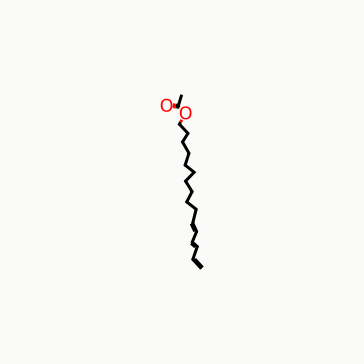 C=CC=CC=CCCCCCCCCCCOC(C)=O